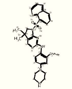 COc1cc(N2CCNCC2)ccc1Nc1ncc2c(n1)N(S(=O)(=O)c1cccc3cccnc13)CC2(C)C